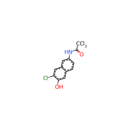 O=C(Nc1ccc2cc(O)c(Cl)cc2c1)C(Cl)(Cl)Cl